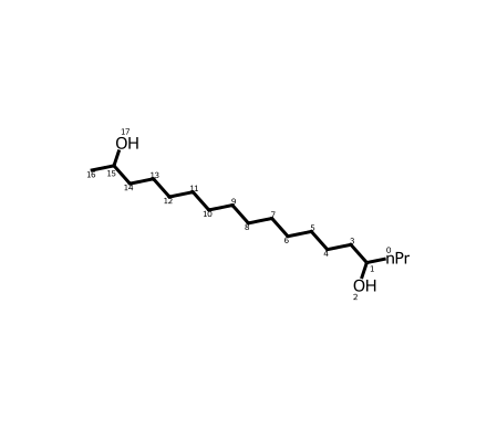 CCCC(O)CCCCCCCCCCCCC(C)O